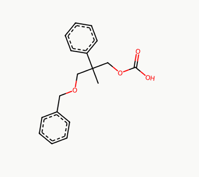 CC(COCc1ccccc1)(COC(=O)O)c1ccccc1